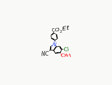 CCOC(=O)c1ccc(-n2cc(C#N)c3cc(O)c(Cl)cc32)cc1